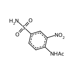 CC(=O)Nc1ccc(S(N)(=O)=O)cc1[N+](=O)[O-]